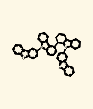 C1=Cc2c(n(-c3ccc4sc5ccccc5c4c3)c3ccccc23)C(c2cccc3c2c2ccccc2n3-c2ccc3oc4ccccc4c3c2)C1